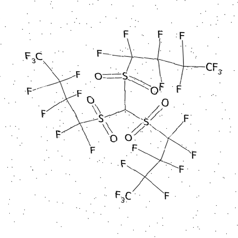 O=S(=O)([C](S(=O)(=O)C(F)(F)C(F)(F)C(F)(F)C(F)(F)F)S(=O)(=O)C(F)(F)C(F)(F)C(F)(F)C(F)(F)F)C(F)(F)C(F)(F)C(F)(F)C(F)(F)F